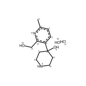 Cc1ccc(C2(O)CCNCC2)c(CO)n1.Cl.Cl